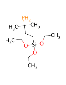 CCO[Si](CCC(C)(C)P)(OCC)OCC